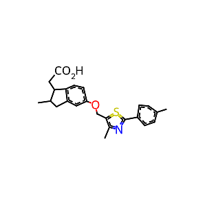 Cc1ccc(-c2nc(C)c(COc3ccc4c(c3)CC(C)C4CC(=O)O)s2)cc1